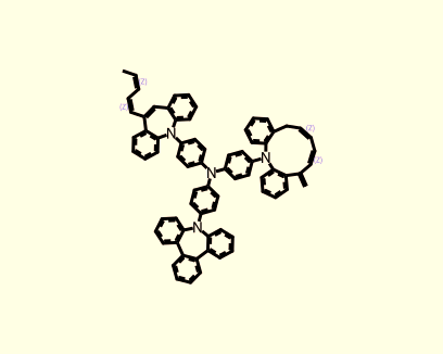 C=C1/C=C\C=C/Cc2ccccc2N(c2ccc(N(c3ccc(N4c5ccccc5C=C(/C=C\C=C/C)c5ccccc54)cc3)c3ccc(N4c5ccccc5-c5ccccc5-c5ccccc54)cc3)cc2)c2ccccc21